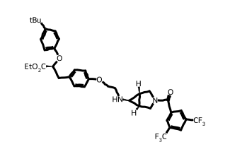 CCOC(=O)[C@H](Cc1ccc(OCCN[C@H]2[C@@H]3CN(C(=O)c4cc(C(F)(F)F)cc(C(F)(F)F)c4)C[C@@H]32)cc1)Oc1ccc(C(C)(C)C)cc1